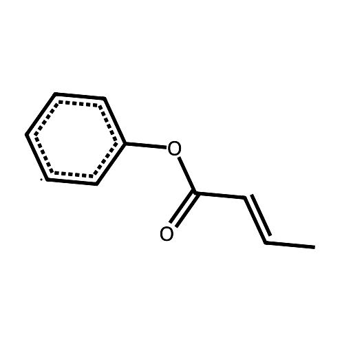 CC=CC(=O)Oc1c[c]ccc1